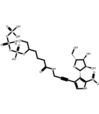 NCC(CCCC(=O)NCC#Cc1c[nH]c([N+](=O)[O-])c1[C@@H]1O[C@H](CO)[C@@H](O)[C@H]1O)OP(=O)(O)OP(=O)(O)OP(=O)(O)O